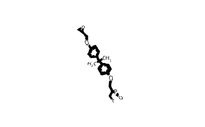 CC(C)(c1ccc(OCC2CO2)cc1)c1ccc(OCC(CF)P=O)cc1